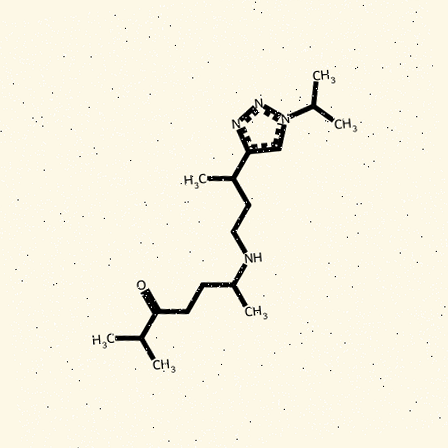 CC(CCC(=O)C(C)C)NCCC(C)c1cn(C(C)C)nn1